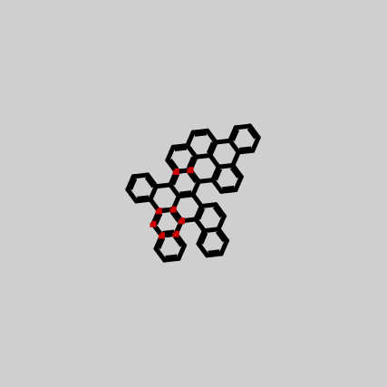 c1ccc2c(-c3c(-c4c(-c5cccc6c7ccccc7c7ccc8ccccc8c7c56)ccc5c6ccccc6c6ccccc6c45)ccc4ccccc34)cccc2c1